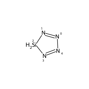 N1=N[SiH2]N=N1